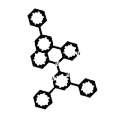 c1ccc(-c2cc3c4c(cccc4c2)N(c2nc(-c4ccccc4)cc(-c4ccccc4)n2)c2cnccc2-3)cc1